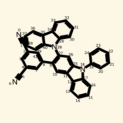 N#Cc1cc(C#N)cc(-c2cc3c4ccccc4n(-c4ccccc4)c3cc2-n2c3ccccc3c3ccccc32)c1